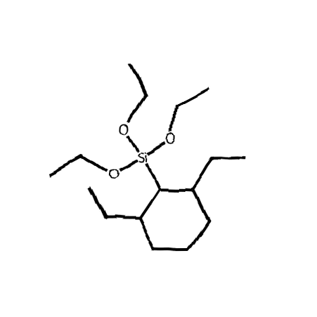 CCO[Si](OCC)(OCC)C1C(CC)CCCC1CC